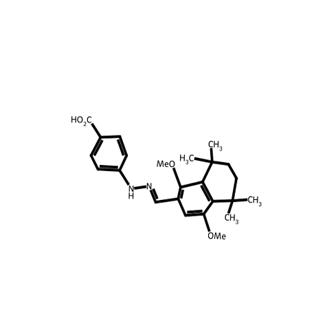 COc1cc(C=NNc2ccc(C(=O)O)cc2)c(OC)c2c1C(C)(C)CCC2(C)C